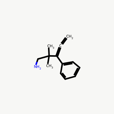 C=C=C(c1ccccc1)C(C)(C)CN